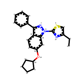 CCc1csc(-n2nc(-c3ccccc3)c3ccc(OC4CCCC4)cc32)n1